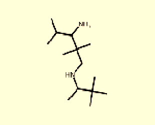 CC(C)C(N)C(C)(C)CNC(C)C(C)(C)C